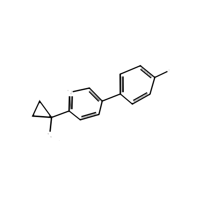 NC1(c2ccc(-c3ccc(Cl)cc3)cn2)CC1